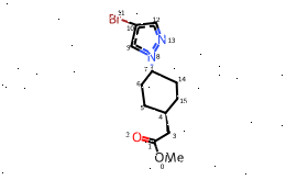 COC(=O)C[C@H]1CC[C@H](n2cc(Br)cn2)CC1